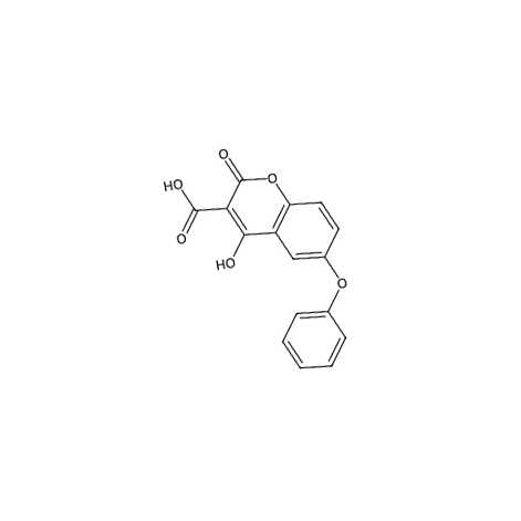 O=C(O)c1c(O)c2cc(Oc3ccccc3)ccc2oc1=O